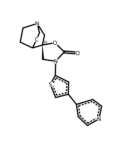 O=C1O[C@]2(CN3CCC2CC3)CN1c1cc(-c2ccncc2)cs1